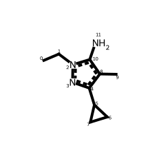 CCn1nc(C2CC2)c(C)c1N